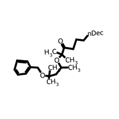 CCCCCCCCCCCCCC(=O)C(C)(C)OC(C)CC(C)(C)OCc1ccccc1